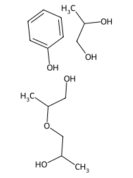 CC(O)CO.CC(O)COC(C)CO.Oc1ccccc1